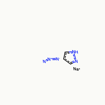 [N-]=[N+]=[N-].[Na+].c1cn[nH]c1